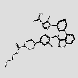 COCCOC(=O)N1CCC(c2ccc(NC3CCc4cccc(-c5cccc(-n6ncc(C(=O)O)c6C)n5)c43)c(C)c2)CC1